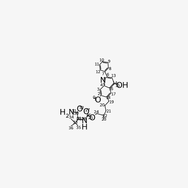 COc1cc2nc(-c3ccccc3)cc(O)c2cc1CCCC(C)COC(=O)N[C@H](C(N)=O)C(C)(C)C